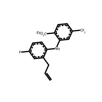 C=CCc1cc(F)ccc1Nc1cc(C(F)(F)F)ccc1C(=O)OCC